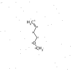 [CH2]OCCC=C